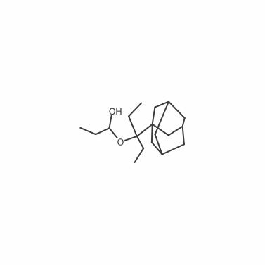 CCC(O)OC(CC)(CC)C12CC3CC(CC(C3)C1)C2